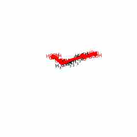 CC1=C(/C=C/C(C)=C/C=C/C(C)=C/C=C/C=C(C)/C=C/C=C(C)/C=C/C2=C(C)C(=O)C(OC(=O)CCC(=O)OCC(O)C3OC(=O)C(O)=C3O)CC2(C)C)C(C)(C)CC(OC(=O)CCC(=O)OCC(O)C2CC(=O)C(O)=C2O)C1=O